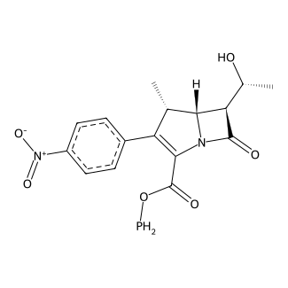 C[C@@H](O)[C@H]1C(=O)N2C(C(=O)OP)=C(c3ccc([N+](=O)[O-])cc3)[C@H](C)[C@H]12